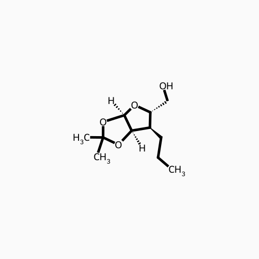 CCC[C@H]1[C@H]2OC(C)(C)O[C@H]2O[C@@H]1CO